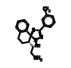 CC(=O)N1N=C(c2cccc(C(F)(F)F)c2)S[C@@]12c1ccccc1CC[C@H]2CCN